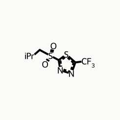 CC(C)CS(=O)(=O)c1nnc(C(F)(F)F)s1